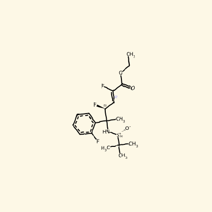 CCOC(=O)/C(F)=C/[C@H](F)C(C)(N[S@+]([O-])C(C)(C)C)c1ccccc1F